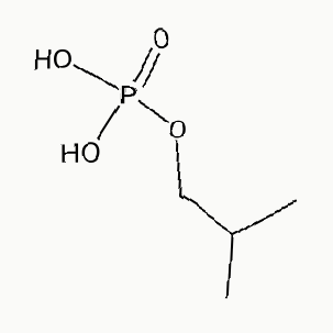 CC(C)COP(=O)(O)O